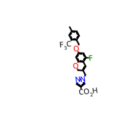 Cc1ccc(COc2cc(F)c3c(c2)OCC(Cn2cc(C(=O)O)cn2)=C3)c(C(F)(F)F)c1